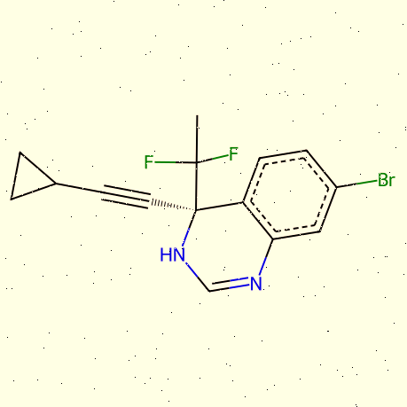 CC(F)(F)[C@]1(C#CC2CC2)NC=Nc2cc(Br)ccc21